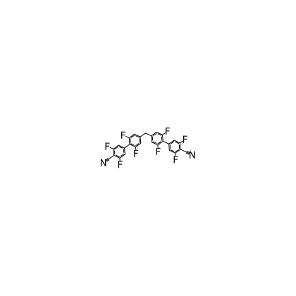 N#Cc1c(F)cc(-c2c(F)cc(Cc3cc(F)c(-c4cc(F)c(C#N)c(F)c4)c(F)c3)cc2F)cc1F